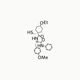 CCO[C@H]1CC[C@@](CS)(C(=O)N[C@@H](Cc2ccc(OC)cc2)C(=O)Nc2ccccc2)CC1